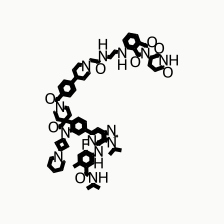 Cc1cc(F)c(Nc2nc(-c3ccc4c(c3)N(C3CC(N5CCCCC5)C3)C(=O)C43CCN(C(=O)c4ccc(C5CCN(CC(=O)NCCNc6cccc7c6C(=O)N(C6CCC(=O)NC6=O)C7=O)CC5)cc4)CC3)cc3ncn(C(C)C)c23)cc1C(=O)NC(C)C